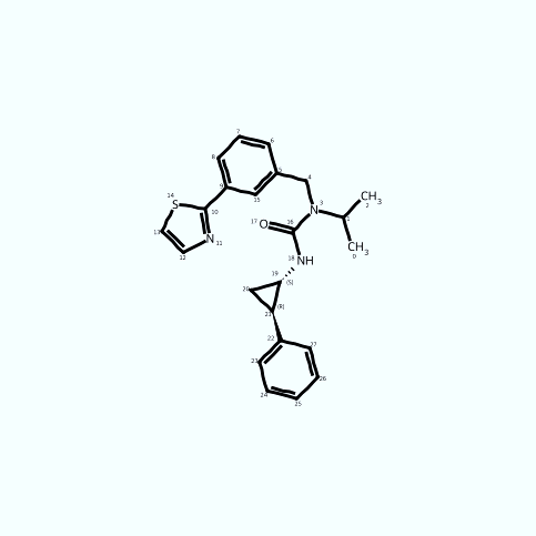 CC(C)N(Cc1cccc(-c2nccs2)c1)C(=O)N[C@H]1C[C@@H]1c1ccccc1